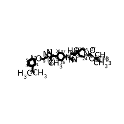 CC(C)c1cccc(OCc2nnc(C3CCC(n4cc(C5(O)CCN(C(=O)OC(C)(C)C)CC5)nn4)CC3)n2C)c1